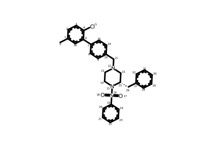 Cc1ccc(Cl)c(-c2ccc(CN3CCN(S(=O)(=O)c4ccccc4)[C@@H](Cc4ccccc4)C3)cc2)c1